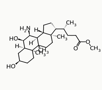 COC(=O)CC[C@@H](C)[C@H]1CC[C@H]2[C@@H]3[C@H](N)[C@H](O)[C@@H]4C[C@H](O)CC[C@]4(C)[C@@]3(C)CC[C@]12C